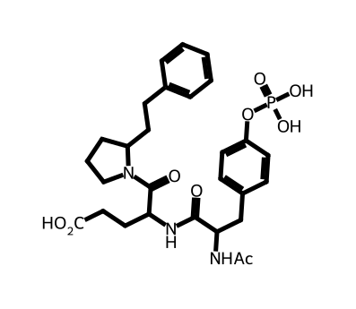 CC(=O)NC(Cc1ccc(OP(=O)(O)O)cc1)C(=O)NC(CCC(=O)O)C(=O)N1CCCC1CCc1ccccc1